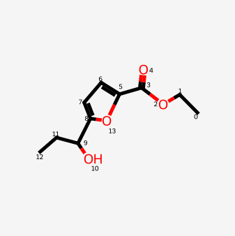 CCOC(=O)c1ccc(C(O)CC)o1